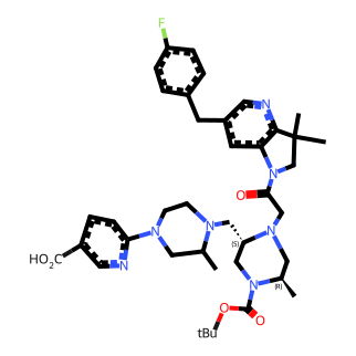 CC1CN(c2ccc(C(=O)O)cn2)CCN1C[C@H]1CN(C(=O)OC(C)(C)C)[C@H](C)CN1CC(=O)N1CC(C)(C)c2ncc(Cc3ccc(F)cc3)cc21